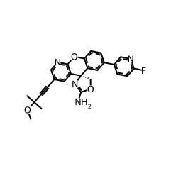 COC(C)(C)C#Cc1cnc2c(c1)[C@@]1(COC(N)=N1)c1cc(-c3ccc(F)nc3)ccc1O2